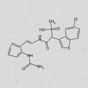 CP(=O)(O)C(C(=O)N/C=C/c1ccccc1NC(N)=O)c1csc2ccc(Cl)cc12